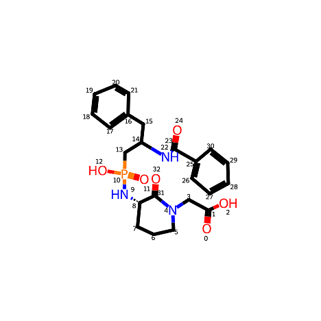 O=C(O)CN1CCC[C@H](NP(=O)(O)CC(Cc2ccccc2)NC(=O)c2ccccc2)C1=O